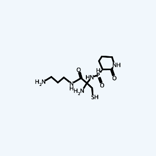 NCCCNC(=O)C(N)(CS)N[PH](=O)[C@H]1CCCNC1=O